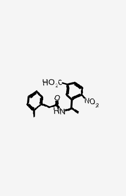 Cc1ccccc1CC(=O)NC(C)c1cc(C(=O)O)ccc1[N+](=O)[O-]